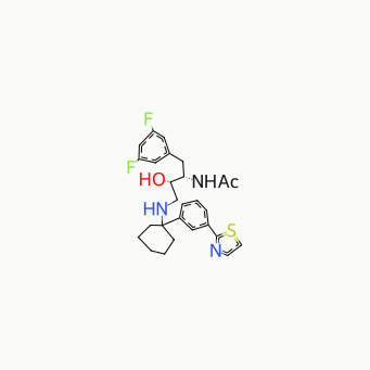 CC(=O)N[C@@H](Cc1cc(F)cc(F)c1)[C@@H](O)CNC1(c2cccc(-c3nccs3)c2)CCCCC1